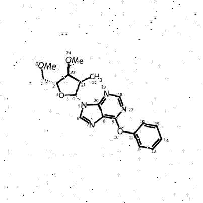 COC[C@H]1O[C@@H](n2cnc3c(Oc4ccccc4)ncnc32)C(C)C1OC